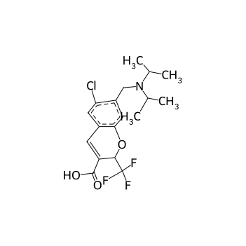 CC(C)N(Cc1cc2c(cc1Cl)C=C(C(=O)O)C(C(F)(F)F)O2)C(C)C